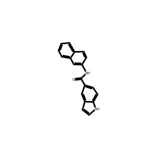 O=C(Nc1ccc2ccccc2c1)c1ccc2[nH]ccc2c1